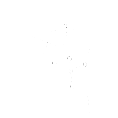 CCO[Si]12OCCN(CCO1)C(C)C(C)(C)O2